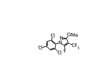 COc1nn(-c2c(Cl)cc(Cl)cc2Cl)c(F)c1C(F)(F)F